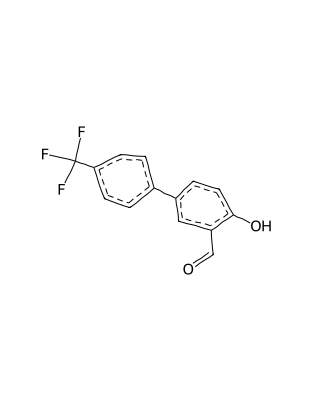 O=Cc1cc(-c2ccc(C(F)(F)F)cc2)ccc1O